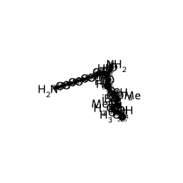 CC[C@H](C)[C@@H]([C@@H](CC(=O)N1CCC[C@H]1[C@H](OC)[C@@H](C)C(=O)N[C@H](C)[C@@H](O)c1ccccc1)OC)N(C)C(=O)OCc1ccc(NC(=O)[C@H](CCCNC(N)=O)NC(=O)[C@@H](NC(=O)CCOCCOCCOCCOCCOCCOCCN)C(C)C)cc1